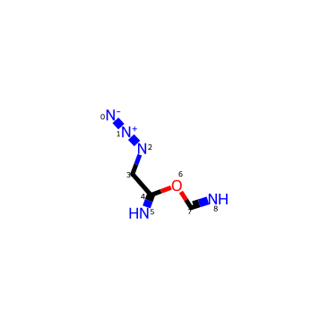 [N-]=[N+]=NCC(=N)OC=N